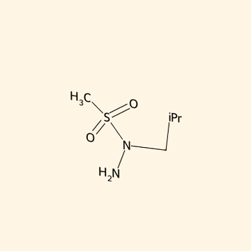 CC(C)CN(N)S(C)(=O)=O